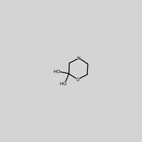 OC1(O)C[N]CCO1